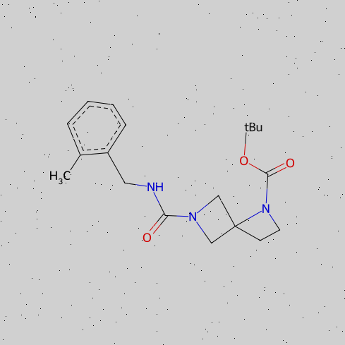 Cc1ccccc1CNC(=O)N1CC2(CCN2C(=O)OC(C)(C)C)C1